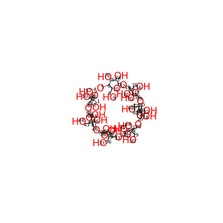 OCC1OC2OC3C(CO)OC(OC4C(CO)OC(OC5C(O)C(O)C(OC6C(CO)OC(OC7C(CO)OC(OC8C(CO)OC(OC1C(O)C2O)C(O)C8O)C(O)C7O)C(O)C6O)O[C@H]5CO)C(O)C4O)C(O)C3O